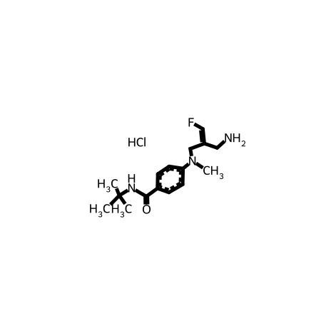 CN(C/C(=C\F)CN)c1ccc(C(=O)NC(C)(C)C)cc1.Cl